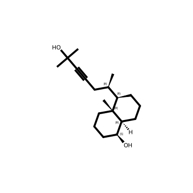 C[C@H](CC#CC(C)(C)O)[C@H]1CCC[C@H]2[C@@H](O)CCC[C@]12C